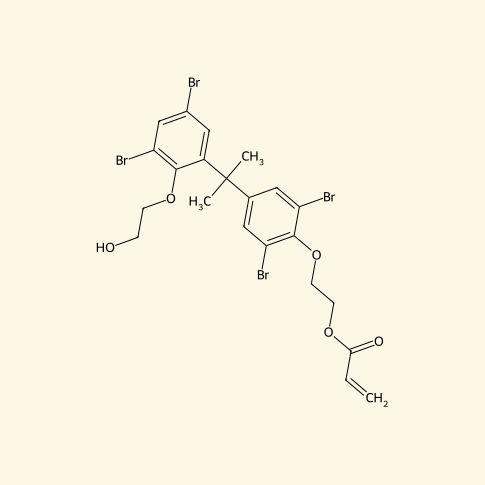 C=CC(=O)OCCOc1c(Br)cc(C(C)(C)c2cc(Br)cc(Br)c2OCCO)cc1Br